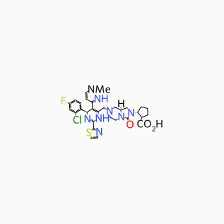 CN/C=C\C(=N)C1=C(CN2CCN3C(=O)N([C@@H]4CCC[C@H]4C(=O)O)C[C@@H]3C2)NC(c2nccs2)=N[C@H]1c1ccc(F)cc1Cl